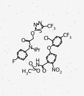 CC(C)N(C(=O)COc1nnc(C(F)(F)F)s1)c1ccc(F)cc1.CS(=O)(=O)NC(=O)c1cc(Oc2ccc(C(F)(F)F)cc2Cl)ccc1[N+](=O)[O-]